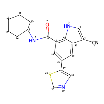 N#Cc1c[nH]c2c(C(=O)NC3CCCCC3)cc(-c3cncs3)cc12